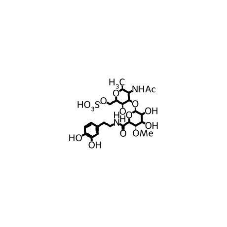 CO[C@@H]1C(C(=O)NCCc2ccc(O)c(O)c2)O[C@@H](OC2C(NC(C)=O)[C@H](C)OC(COS(=O)(=O)O)[C@@H]2O)C(O)C1O